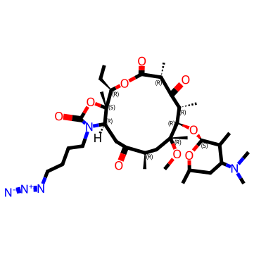 CC[C@H]1OC(=O)[C@H](C)C(=O)[C@H](C)[C@@H](O[C@@H]2OC(C)CC(N(C)C)C2C)[C@](C)(OC)C[C@@H](C)C(=O)C[C@H]2N(CCCCN=[N+]=[N-])C(=O)O[C@]12C